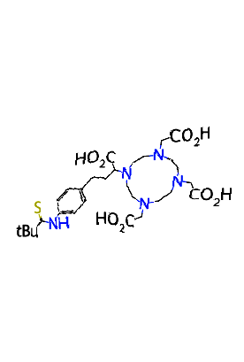 CC(C)(C)C(=S)Nc1ccc(CCC(C(=O)O)N2CCN(CC(=O)O)CCN(CC(=O)O)CCN(CC(=O)O)CC2)cc1